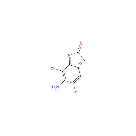 Nc1c(Cl)cc2c(c1Cl)=NC(=O)N=2